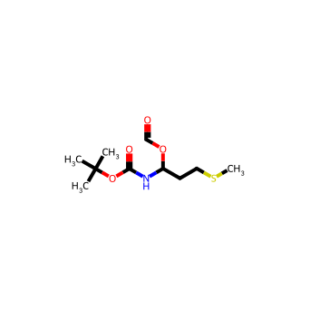 CSCCC(NC(=O)OC(C)(C)C)OC=O